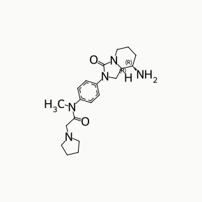 CN(C(=O)CN1CCCC1)c1ccc(N2C[C@@H]3[C@H](N)CCCN3C2=O)cc1